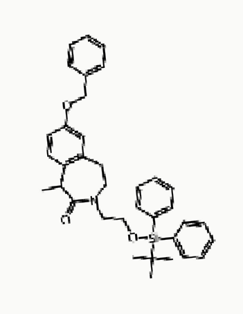 CC1C(=O)N(CCO[Si](c2ccccc2)(c2ccccc2)C(C)(C)C)CCc2cc(OCc3ccccc3)ccc21